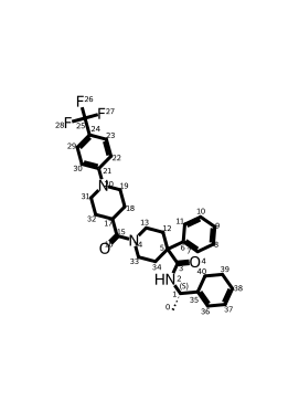 C[C@H](NC(=O)C1(c2ccccc2)CCN(C(=O)C2CCN(c3ccc(C(F)(F)F)cc3)CC2)CC1)C1=CC=CCC1